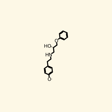 [O]c1ccc(CCNC[C@H](O)COc2ccccc2)cc1